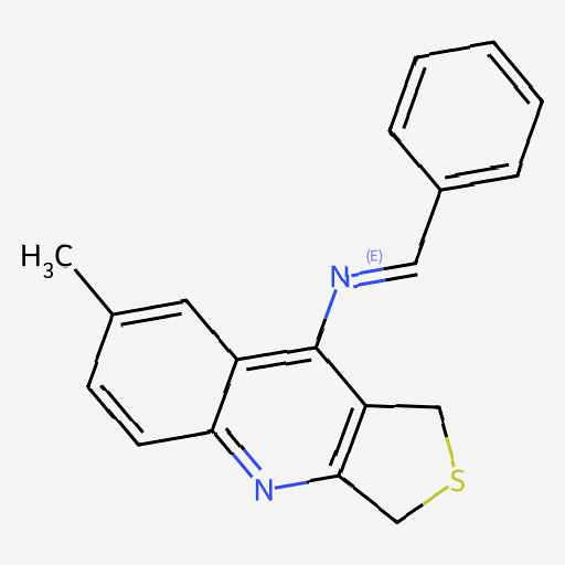 Cc1ccc2nc3c(c(/N=C/c4ccccc4)c2c1)CSC3